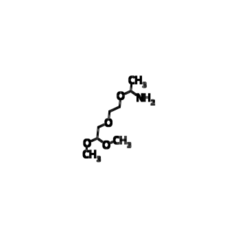 COC(COCCOC(C)N)OC